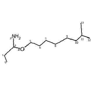 CCC(N)OCCCCCCC(C)C